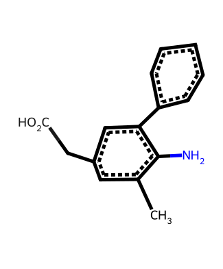 Cc1cc(CC(=O)O)cc(-c2ccccc2)c1N